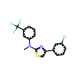 CN(c1cccc(C(F)(F)F)c1)c1nc(-c2cccc(Cl)c2)cs1